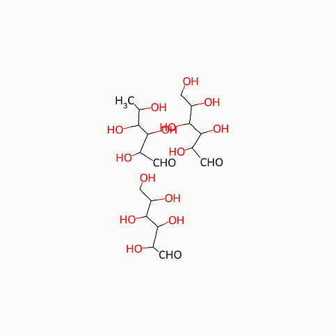 CC(O)C(O)C(O)C(O)C=O.O=CC(O)C(O)C(O)C(O)CO.O=CC(O)C(O)C(O)C(O)CO